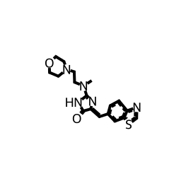 CN(CCN1CCOCC1)C1=N/C(=C\c2ccc3ncsc3c2)C(=O)N1